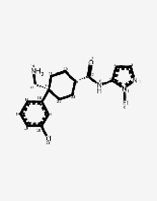 CCn1nccc1NC(=O)[C@H]1CC[C@](CN)(c2cccc(Cl)c2)CC1